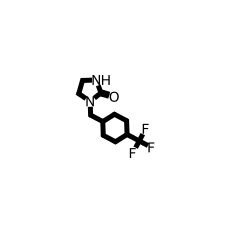 O=C1NCCN1CC1CCC(C(F)(F)F)CC1